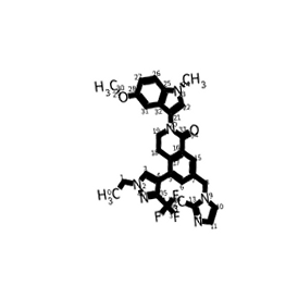 CCn1cc(-c2cc(Cn3ccnc3C)cc3c2CCN(c2cn(C)c4ccc(OC)cc24)C3=O)c(C(F)(F)F)n1